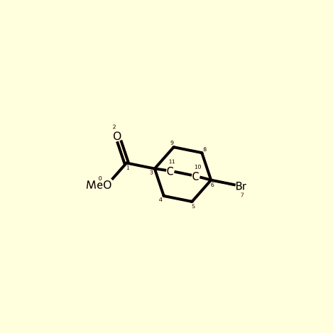 COC(=O)C12CCC(Br)(CC1)CC2